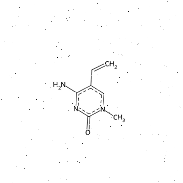 C=Cc1cn(C)c(=O)nc1N